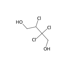 OCC(Cl)C(Cl)(Cl)CO